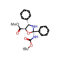 COC(=O)[C@@H]1O[C@](NC(=O)OC(C)(C)C)(c2ccccc2)N[C@H]1c1ccccc1